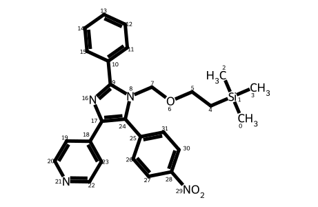 C[Si](C)(C)CCOCn1c(-c2ccccc2)nc(-c2ccncc2)c1-c1ccc([N+](=O)[O-])cc1